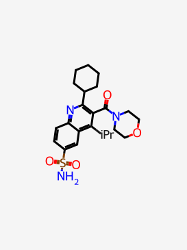 CC(C)c1c(C(=O)N2CCOCC2)c(C2CCCCC2)nc2ccc(S(N)(=O)=O)cc12